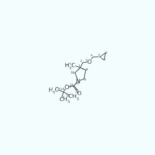 CC1(COCC2CC2)CCN(C(=O)OC(C)(C)C)C1